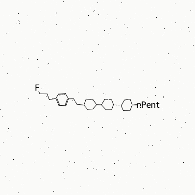 CCCCC[C@H]1CC[C@H](C2CCC(C3CCC(CCc4ccc(CCCF)cc4)CC3)CC2)CC1